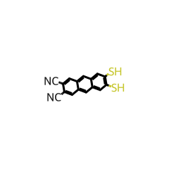 N#Cc1cc2cc3cc(S)c(S)cc3cc2cc1C#N